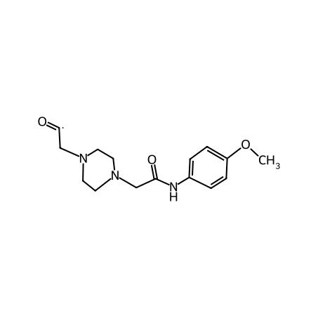 COc1ccc(NC(=O)CN2CCN(C[C]=O)CC2)cc1